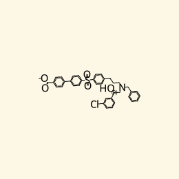 COC(=O)c1ccc(-c2ccc(S(=O)(=O)c3ccc(CCCN(Cc4ccccc4)C[C@H](O)c4cccc(Cl)c4)cc3)cc2)cc1